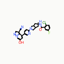 CC1(NC(=O)c2cc(F)ccc2Cl)CC2CN(c3ccc(-c4cc(O)cn5ncc(C#N)c45)cn3)CC2C1